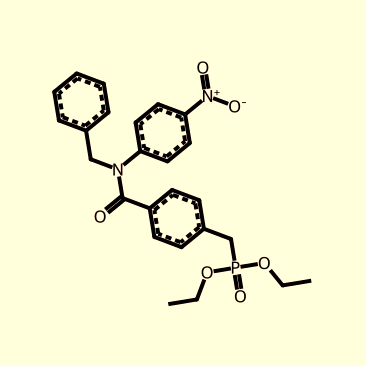 CCOP(=O)(Cc1ccc(C(=O)N(Cc2ccccc2)c2ccc([N+](=O)[O-])cc2)cc1)OCC